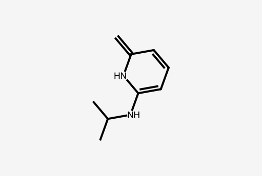 C=C1C=CC=C(NC(C)C)N1